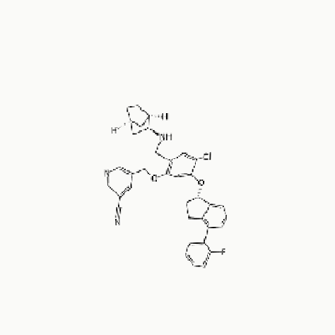 N#Cc1cncc(COc2cc(O[C@H]3CCc4c(-c5ccccc5F)cccc43)c(Cl)cc2CN[C@H]2C[C@H]3CC[C@@H]2C3)c1